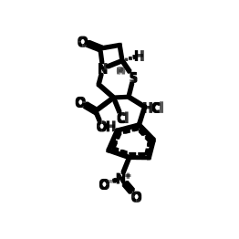 Cl.O=C1C[C@H]2SC(Cc3ccc([N+](=O)[O-])cc3)C(Cl)(C(=O)O)CN12